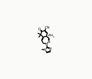 Cn1ccnc1N1CC=C2C(C)(C)C(=O)C(C#N)=C[C@@]2(P)C=N1